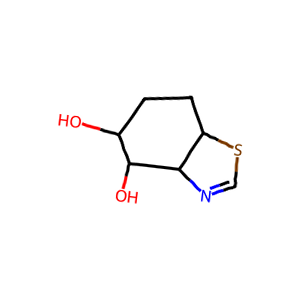 OC1CCC2SC=NC2C1O